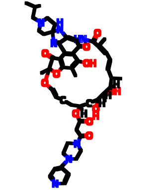 C/C1=C/C=C/C(C)[C@H](O)[C@@H](C)[C@@H](O)C[C@H](OC(=O)CC(=O)N2CCN(c3ccncc3)CC2)CC/C=C/O[C@@]2(C)Oc3c(C)c(O)c4c(c3C2=O)C2=NC3(CCN(CC(C)C)CC3)NC2=C(NC1=O)C4=O